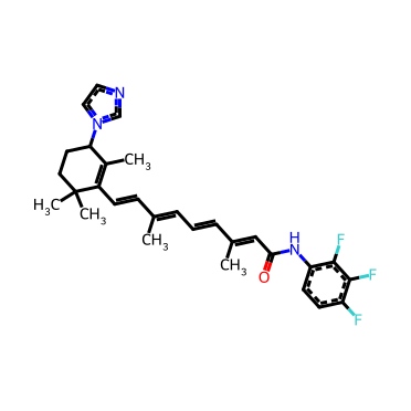 CC1=C(/C=C/C(C)=C/C=C/C(C)=C/C(=O)Nc2ccc(F)c(F)c2F)C(C)(C)CCC1n1ccnc1